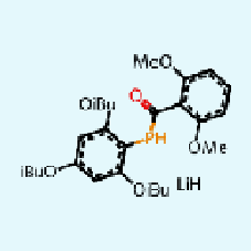 COc1cccc(OC)c1C(=O)Pc1c(OCC(C)C)cc(OCC(C)C)cc1OCC(C)C.[LiH]